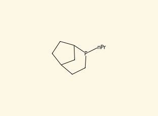 CCCP1CCC2CCC1C2